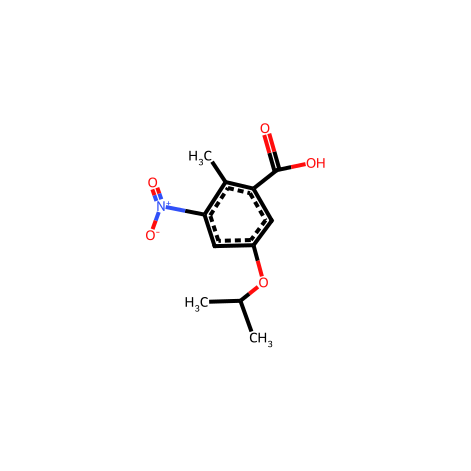 Cc1c(C(=O)O)cc(OC(C)C)cc1[N+](=O)[O-]